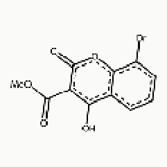 COC(=O)c1c(O)c2cccc(Br)c2oc1=O